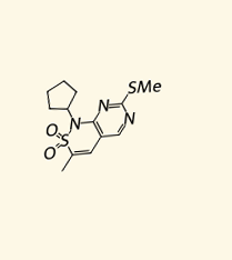 CSc1ncc2c(n1)N(C1CCCC1)S(=O)(=O)C(C)=C2